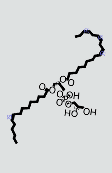 CC/C=C\C/C=C\C/C=C\CCCCCCCC(=O)O[C@H](COC(=O)CCCCCCC/C=C\CCCCC)COP(=O)(O)OC[C@@H](O)CO